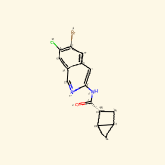 O=C(Nc1cc2cc(Br)c(Cl)cc2cn1)[C@@H]1CC2CC21